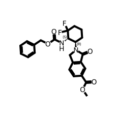 COC(=O)c1ccc2c(c1)C(=O)N([C@@H]1CCCC(F)(F)[C@H]1NC(=O)OCc1ccccc1)C2